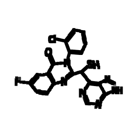 O=c1c2cc(F)ccc2nc(C(S)c2ncnc3[nH]cnc23)n1-c1ccccc1Cl